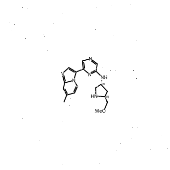 COC[C@@H]1C[C@@H](Nc2cncc(-c3cnc4cc(C)ccn34)n2)CN1